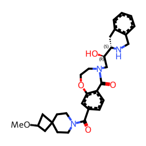 COC1CC2(CCN(C(=O)c3ccc4c(c3)OCCN(C[C@@H](O)[C@@H]3Cc5ccccc5CN3)C4=O)CC2)C1